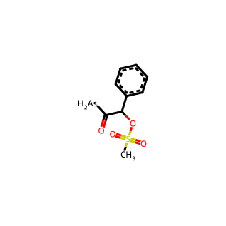 CS(=O)(=O)OC(C(=O)[AsH2])c1ccccc1